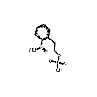 O=[N+](O)c1ccccc1CCOP(=O)([O-])O